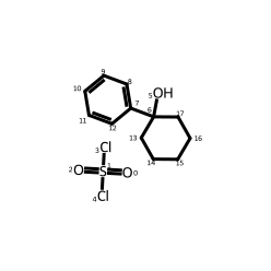 O=S(=O)(Cl)Cl.OC1(c2ccccc2)CCCCC1